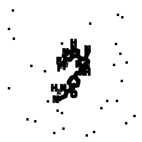 N#CC[C@H](N)C(=O)N1CCC(CNc2ncc(C#N)c(-c3c[nH]c4ncc(C(F)(F)F)cc34)n2)CC1